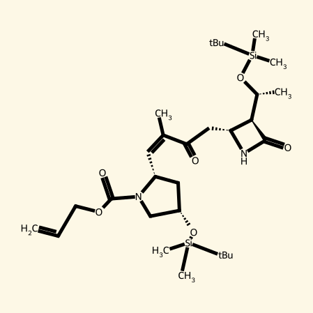 C=CCOC(=O)N1C[C@@H](O[Si](C)(C)C(C)(C)C)C[C@H]1C=C(C)C(=O)C[C@H]1NC(=O)[C@@H]1[C@@H](C)O[Si](C)(C)C(C)(C)C